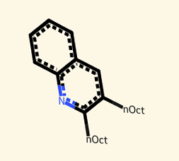 CCCCCCCCc1cc2ccccc2nc1CCCCCCCC